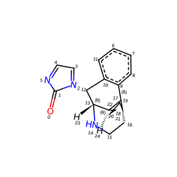 O=C1N=CC=N1.c1ccc2c(c1)C[C@H]1NCC[C@@]23CCCC[C@@H]13